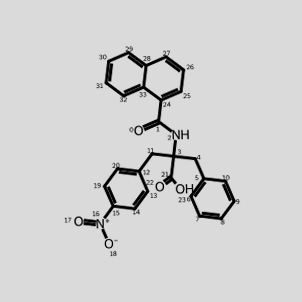 O=C(NC(Cc1ccccc1)(Cc1ccc([N+](=O)[O-])cc1)C(=O)O)c1cccc2ccccc12